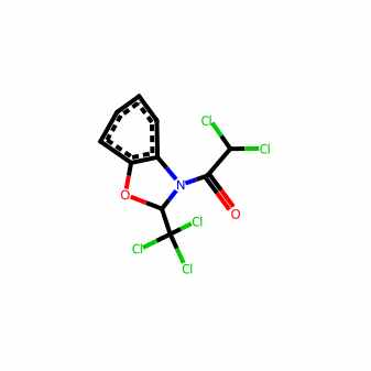 O=C(C(Cl)Cl)N1c2ccccc2OC1C(Cl)(Cl)Cl